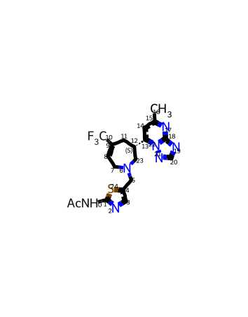 CC(=O)Nc1ncc(CN2CC=C(C(F)(F)F)C[C@H](c3cc(C)nc4ncnn34)C2)s1